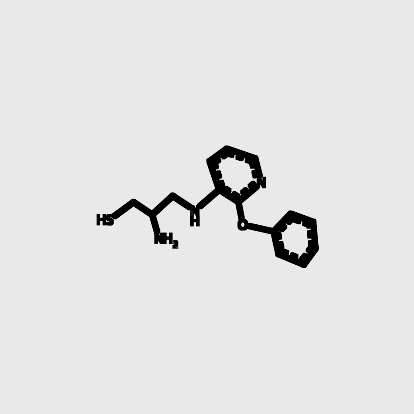 NC(CS)CNc1cccnc1Oc1ccccc1